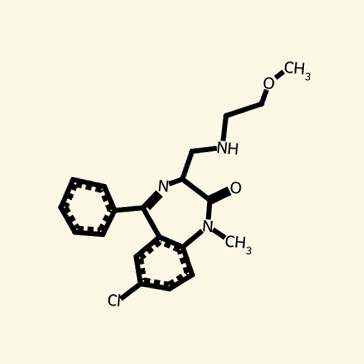 COCCNCC1N=C(c2ccccc2)c2cc(Cl)ccc2N(C)C1=O